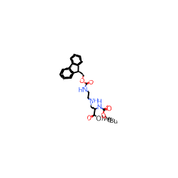 COC(=O)C(CNCCNC(=O)OCC1c2ccccc2-c2ccccc21)NC(=O)OC(C)(C)C